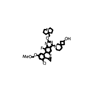 COCOc1cc(Cl)c(C2CC2)c(-c2c(F)cc3c(N4CCCC5(CC(O)C5)C4)nc(OCC45CCCN4CCC5)nc3c2F)c1